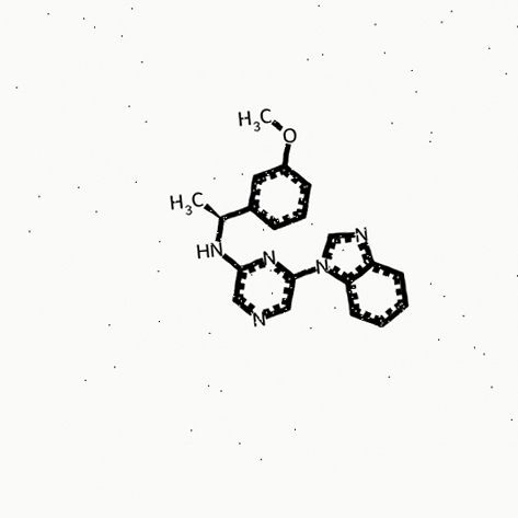 COc1cccc([C@H](C)Nc2cncc(-n3cnc4ccccc43)n2)c1